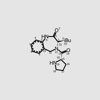 CC[C@H](C)[C@H]1C(=O)Nc2ccccc2CN1C(=O)[C@@H]1CCCN1